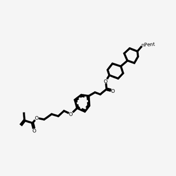 C=C(C)C(=O)OCCCCOc1ccc(CCC(=O)OC2CCC(C3CCC(CCCCC)CC3)CC2)cc1